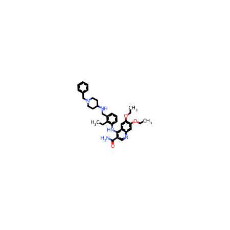 CCOc1cc2ncc(C(N)=O)c(Nc3cccc(CNC4CCN(Cc5ccccc5)CC4)c3CC)c2cc1OCC